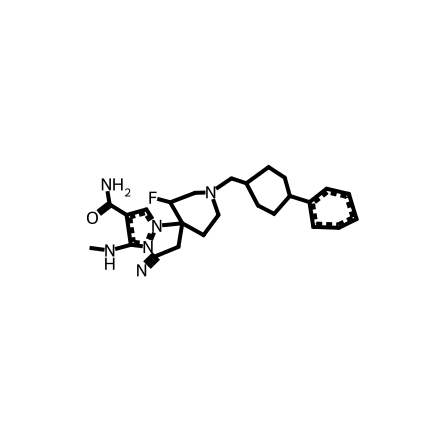 CNc1nn(C2(CC#N)CCN(CC3CCC(c4ccccc4)CC3)CC2F)cc1C(N)=O